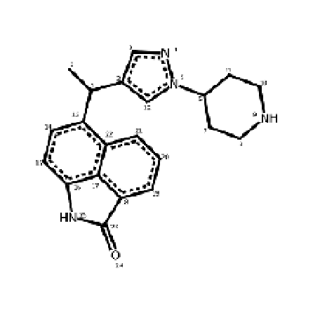 CC(c1cnn(C2CCNCC2)c1)c1ccc2c3c(cccc13)C(=O)N2